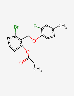 CCC(=O)Oc1cccc(Br)c1COc1ccc(C)cc1F